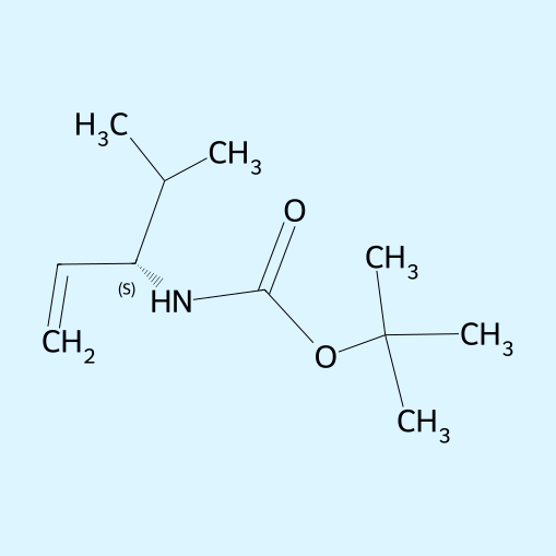 C=C[C@@H](NC(=O)OC(C)(C)C)C(C)C